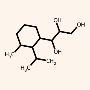 CC(C)C1C(C)CCCC1C(O)C(O)CO